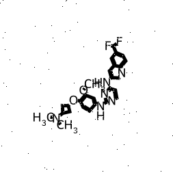 COc1cc(Nc2nccc(Nc3cnc4ccc(C(F)F)cc4c3)n2)ccc1OC1CC(N(C)C)C1